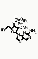 CCC(C)OP(=O)(O)OC1C(CC(C)C)OC(n2cnc3cnc(N)nc32)C1OC